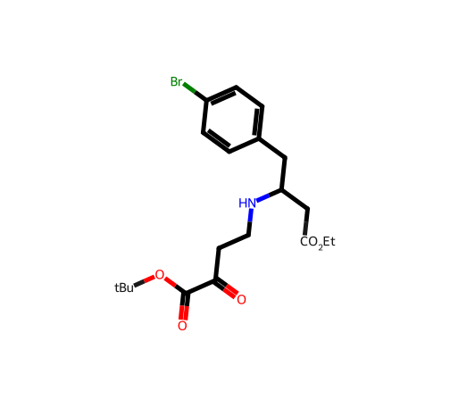 CCOC(=O)CC(Cc1ccc(Br)cc1)NCCC(=O)C(=O)OC(C)(C)C